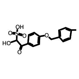 Cc1ccc(COc2ccc(C(=O)C(O)S(=O)(=O)O)cc2)cc1